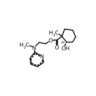 CN(CCOC(=O)C1(C)CCCC[C@H]1O)c1ccccn1